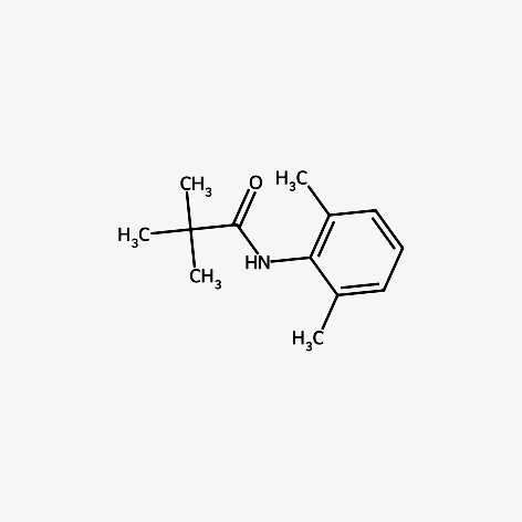 Cc1cccc(C)c1NC(=O)C(C)(C)C